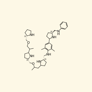 Cc1cc(C2CC[C@@H](CNc3ccccc3)N2)cc(C)c1NC[C@@H]1CCC(CC(C)OC[C@@H]2CCC(C(C)COC[C@@H]3CCCN3)N2)N1